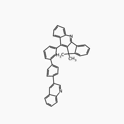 CC1(C)c2ccccc2-c2nc3ccccc3c(-c3cccc(-c4ccc(-c5cnc6ccccc6c5)cc4)c3)c21